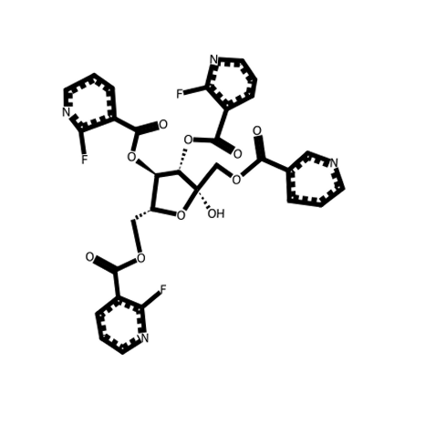 O=C(OC[C@@]1(O)O[C@H](COC(=O)c2cccnc2F)[C@@H](OC(=O)c2cccnc2F)[C@@H]1OC(=O)c1cccnc1F)c1cccnc1